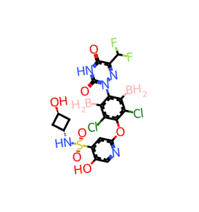 Bc1c(Cl)c(Oc2cc(S(=O)(=O)N[C@H]3C[C@H](O)C3)c(O)cn2)c(Cl)c(B)c1-n1nc(C(F)F)c(=O)[nH]c1=O